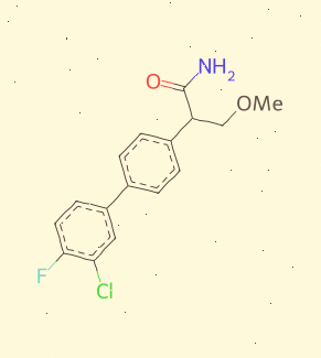 COCC(C(N)=O)c1ccc(-c2ccc(F)c(Cl)c2)cc1